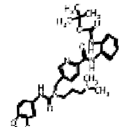 CN(C)CCCN(Cc1ccc(C(=O)Nc2ccccc2NC(=O)OC(C)(C)C)nc1)C(=O)Nc1ccc2c(c1)OCO2